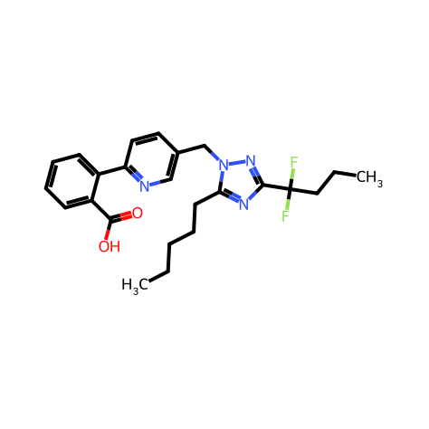 CCCCCc1nc(C(F)(F)CCC)nn1Cc1ccc(-c2ccccc2C(=O)O)nc1